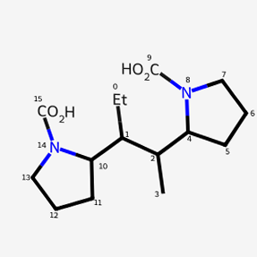 CCC(C(C)C1CCCN1C(=O)O)C1CCCN1C(=O)O